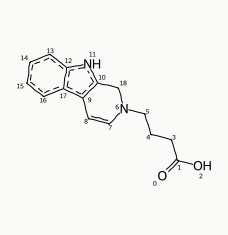 O=C(O)CCCN1C=Cc2c([nH]c3ccccc23)C1